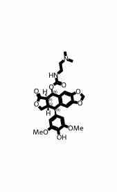 COc1cc([C@@H]2c3cc4c(cc3[C@H](OC(=O)NCCN(C)C)[C@@H]3C(=O)OC[C@@H]23)OCO4)cc(OC)c1O